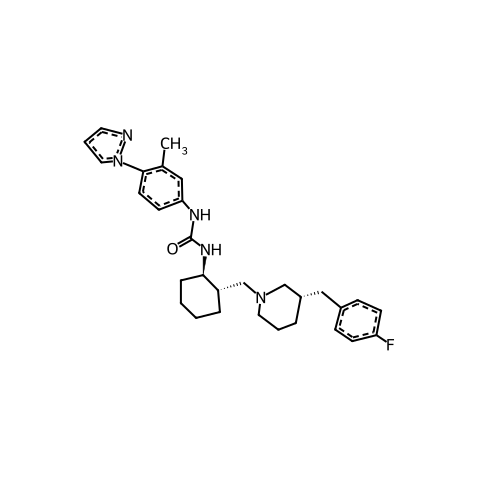 Cc1cc(NC(=O)N[C@@H]2CCCC[C@H]2CN2CCC[C@@H](Cc3ccc(F)cc3)C2)ccc1-n1cccn1